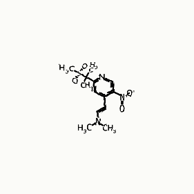 CN(C)C=Cc1cc(C(C)(C)S(C)(=O)=O)ncc1[N+](=O)[O-]